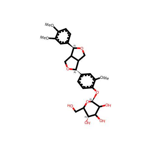 COc1ccc([C@H]2OCC3C2CO[C@H]3c2ccc(O[C@@H]3OC(CO)[C@@H](O)C(O)C3O)c(OC)c2)cc1OC